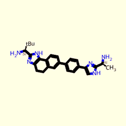 C[C@H](N)c1nc(-c2ccc(-c3ccc4c(c3)CCc3nc([C@@H](N)C(C)(C)C)[nH]c3-4)cc2)c[nH]1